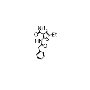 CCc1cc(C(N)=O)c(NC(=O)Cc2ccccc2)s1